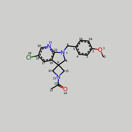 COc1ccc(CN2CC3(CN(C(C)=O)C3)c3cc(Cl)cnc32)cc1